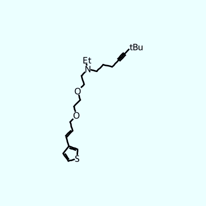 CCN(CCCC#CC(C)(C)C)CCOCCOCC=Cc1ccsc1